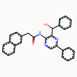 O=C(Cc1ccc2ccccc2c1)Nc1ncc(-c2ccccc2)nc1C(O)c1ccccc1